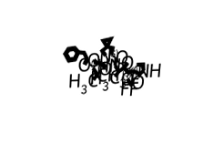 CC(C)C[C@@H](OC(=O)Cc1ccccc1)C(=O)N1CC2(CC2)C[C@H]1C(=O)NC(C)C(=O)[C@@H](OC(F)(F)F)[C@@H]1CCNC1=O